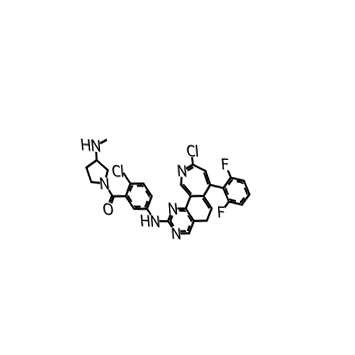 CNC1CCN(C(=O)c2cc(Nc3ncc4c(n3)C3=CN=C(Cl)C=C(c5c(F)cccc5F)C3=CC4)ccc2Cl)C1